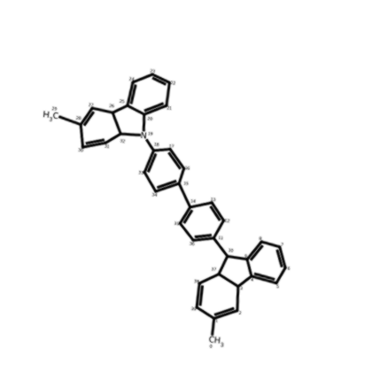 CC1=CC2c3ccccc3C(c3ccc(-c4ccc(N5c6ccccc6C6C=C(C)C=CC65)cc4)cc3)C2C=C1